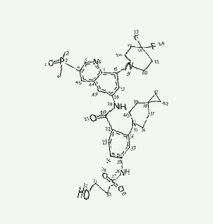 CP(C)(=O)c1cnc2c(N3CCC(F)(F)CC3)cc(NC(=O)c3ccc(NS(=O)(=O)CCO)cc3N3CCC4(CC3)CC4)cc2c1